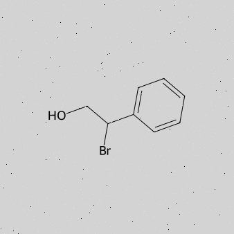 OCC(Br)c1ccccc1